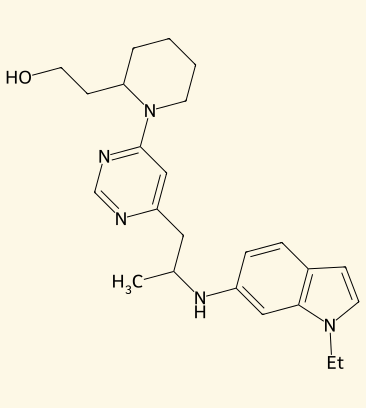 CCn1ccc2ccc(NC(C)Cc3cc(N4CCCCC4CCO)ncn3)cc21